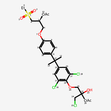 CCS(=O)(=O)C[C@H](COc1ccc(C(C)(C)c2cc(Cl)c(OCC(O)(CCl)OC(C)=O)c(Cl)c2)cc1)OC(C)=O